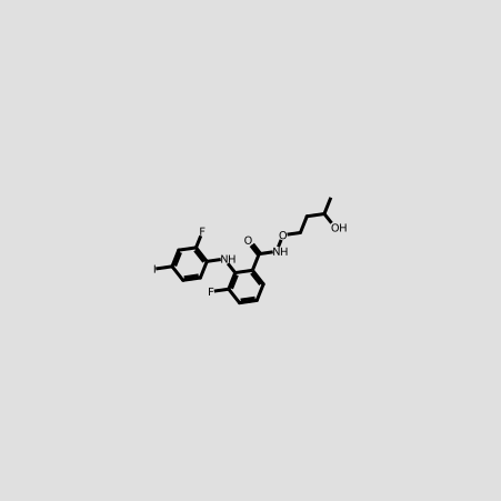 CC(O)CCONC(=O)c1cccc(F)c1Nc1ccc(I)cc1F